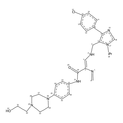 C=N/C(=C\NCc1c(-c2ccc(Cl)cc2)ncn1C(C)C)C(=O)Nc1ccc(N2CCN(CCO)CC2)cc1